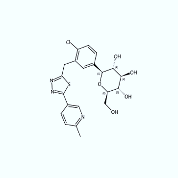 Cc1ccc(-c2nnc(Cc3cc([C@@H]4O[C@H](CO)[C@@H](O)[C@H](O)[C@H]4O)ccc3Cl)s2)cn1